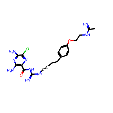 CC(=N)NCCOc1ccc(CCCCNC(=N)NC(=O)c2nc(Cl)c(N)nc2N)cc1